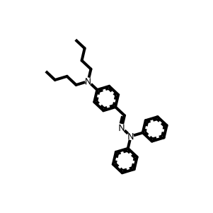 CCCCN(CCCC)c1ccc(C=NN(c2ccccc2)c2ccccc2)cc1